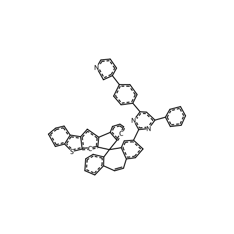 C1=Cc2ccc(-c3nc(-c4ccccc4)cc(-c4ccc(-c5cccnc5)cc4)n3)cc2C2(c3ccccc31)c1ccccc1-c1cc3c(cc12)sc1ccccc13